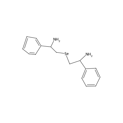 NC(C[Se]CC(N)c1ccccc1)c1ccccc1